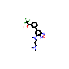 CN(C)CCCN(C)c1cc(-c2cccc(C(O)C(F)(F)F)c2)cc2nonc12